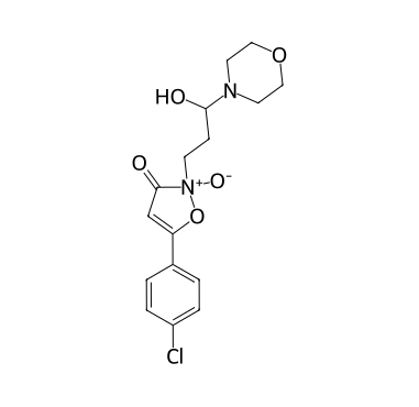 O=C1C=C(c2ccc(Cl)cc2)O[N+]1([O-])CCC(O)N1CCOCC1